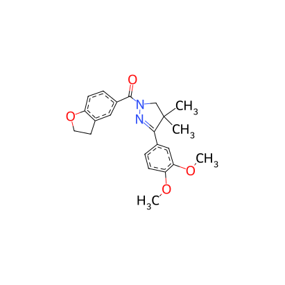 COc1ccc(C2=NN(C(=O)c3ccc4c(c3)CCO4)CC2(C)C)cc1OC